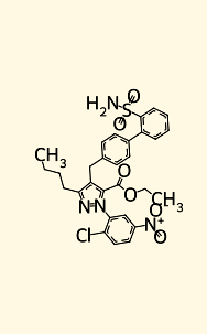 CCCCc1nn(-c2cc([N+](=O)[O-])ccc2Cl)c(C(=O)OCC)c1Cc1ccc(-c2ccccc2S(N)(=O)=O)cc1